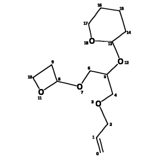 C=CCOCC(COC1CCO1)OC1CCCCO1